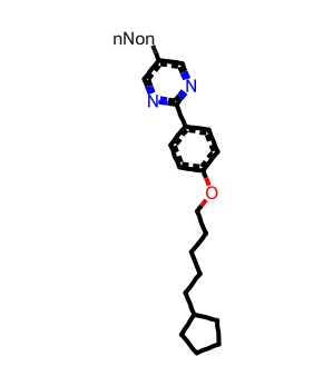 CCCCCCCCCc1cnc(-c2ccc(OCCCCCC3CCCC3)cc2)nc1